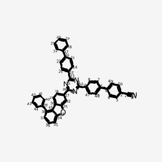 N#Cc1ccc(-c2ccc(-c3nc(-c4ccc(-c5ccccc5)cc4)nc(-c4ccc5c(c4)oc4cccc(-c6ccccc6)c45)n3)cc2)cc1